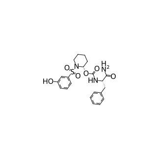 NC(=O)[C@H](Cc1ccccc1)NC(=O)O[C@H]1CCCCN1S(=O)(=O)c1cccc(O)c1